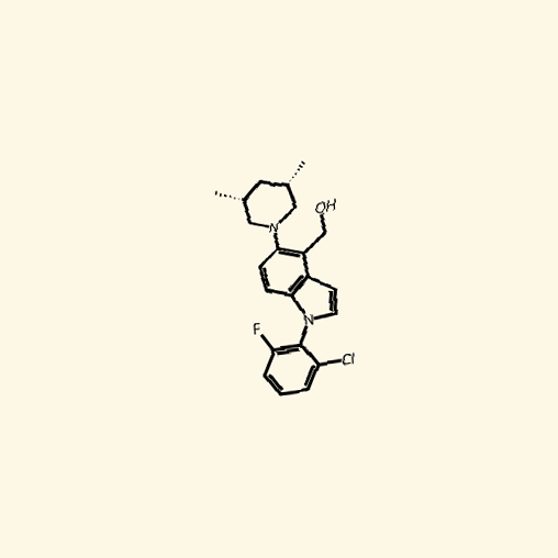 C[C@@H]1C[C@H](C)CN(c2ccc3c(ccn3-c3c(F)cccc3Cl)c2CO)C1